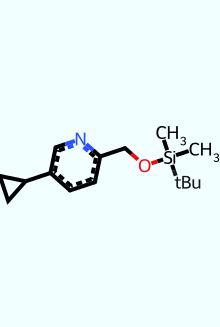 CC(C)(C)[Si](C)(C)OCc1ccc(C2CC2)cn1